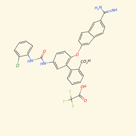 N=C(N)c1ccc2cc(Oc3ccc(NC(=O)Nc4ccccc4Cl)cc3-c3ccccc3C(=O)O)ccc2c1.O=C(O)C(F)(F)F